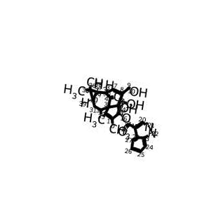 CC1=CC23C(=O)[C@@H](C=C(CO)[C@@H](O)[C@]2(O)[C@H]1OC(=O)c1cnnc2ccccc12)[C@H]1[C@@H](CC3C)C1(C)C